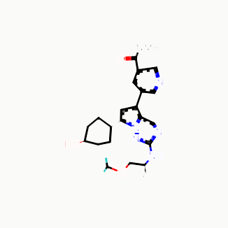 CNC(=O)c1cncc(-c2cc([C@H]3CC[C@H](O)CC3)n3nc(N[C@@H](C)COC(F)F)ncc23)c1